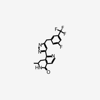 CC1Cc2c(ccnc2-c2cc(Cc3cc(F)cc(C(F)(F)F)c3)ncn2)C(=O)N1